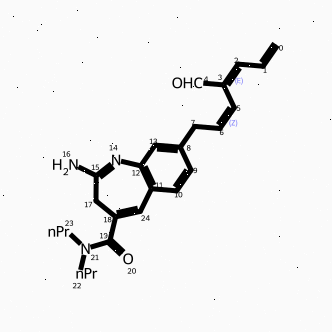 C=C/C=C(C=O)\C=C/Cc1ccc2c(c1)N=C(N)CC(C(=O)N(CCC)CCC)=C2